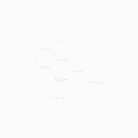 Cc1cc(CC(CCN)c2ccccc2)c(C#N)cn1